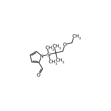 CCOCC(C)(C)[Si](C)(C)n1cccc1C=O